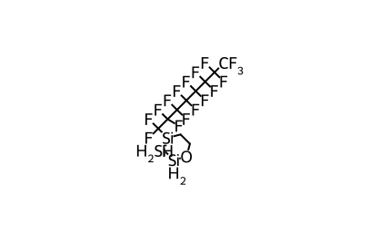 FC(F)(F)C(F)(F)C(F)(F)C(F)(F)C(F)(F)C(F)(F)C(F)(F)C(F)(F)[SiH]1CCO[SiH2][SiH2]1